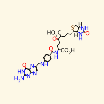 Nc1nc2ncc(CNc3ccc(C(=O)N[C@@H](CCC(=O)C(CCC[C@@H]4SC[C@@H]5NC(=O)N[C@@H]54)C(=O)O)C(=O)O)cc3)nc2c(=O)[nH]1